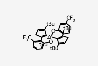 CC(C)(C)C1=CCC(C(C)(C)C)=[C]1[Zr]([O]c1cccc(C(F)(F)F)c1)([O]c1cccc(C(F)(F)F)c1)[C]1=C(C(C)(C)C)CC=C1C(C)(C)C